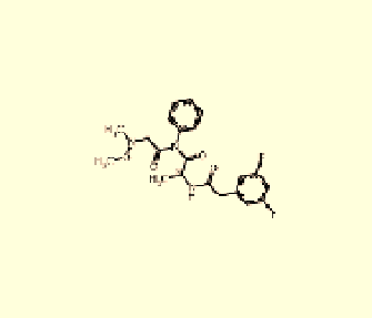 CON(C)CC(=O)N(C(=O)[C@H](C)NC(=O)Cc1cc(F)cc(F)c1)c1ccccc1